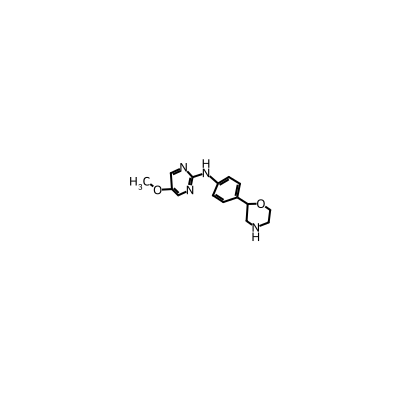 COc1cnc(Nc2ccc(C3CNCCO3)cc2)nc1